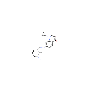 CCOC(=O)NC1CC=CC2CN(c3ccc4c(=O)c(OC(=O)O)cn(C5CC5)c4c3F)CC21